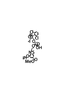 COC(=O)c1cc(OC(C)C)c2nc(CCO[C@@H]3C(OCc4c(-c5c(Cl)cccc5Cl)noc4C4CC4)CO[C@@H]3O)sc2c1